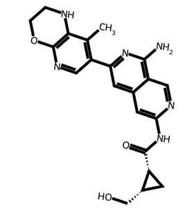 Cc1c(-c2cc3cc(NC(=O)[C@@H]4C[C@@H]4CO)ncc3c(N)n2)cnc2c1NCCO2